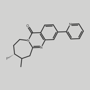 CC1Cc2nc3cc(-c4ccccn4)ccc3c(=O)n2CC[C@H]1F